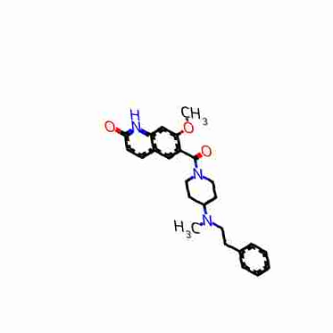 COc1cc2[nH]c(=O)ccc2cc1C(=O)N1CCC(N(C)CCc2ccccc2)CC1